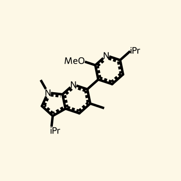 COc1nc(C(C)C)ccc1-c1nc2c(cc1C)c(C(C)C)cn2C